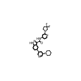 O=C(Nc1ccnc(N2CCC(F)(F)C2)c1)c1n[nH]c2ccc(-c3cncc(N4CCCCC4)c3)cc12